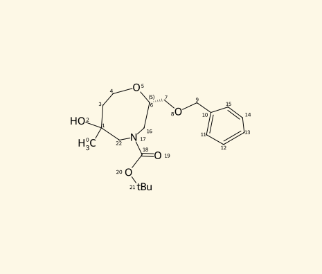 CC1(O)CCO[C@H](COCc2ccccc2)CN(C(=O)OC(C)(C)C)C1